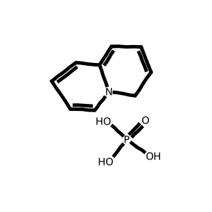 C1=CCN2C=CC=CC2=C1.O=P(O)(O)O